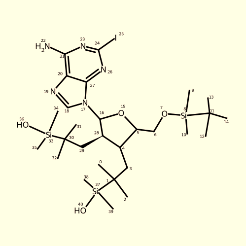 CC(C)(CC1C(CO[Si](C)(C)C(C)(C)C)OC(n2cnc3c(N)nc(I)nc32)[C@@H]1CC(C)(C)[Si](C)(C)O)[Si](C)(C)O